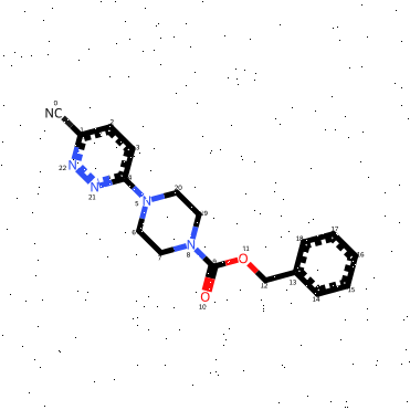 N#Cc1ccc(N2CCN(C(=O)OCc3ccccc3)CC2)nn1